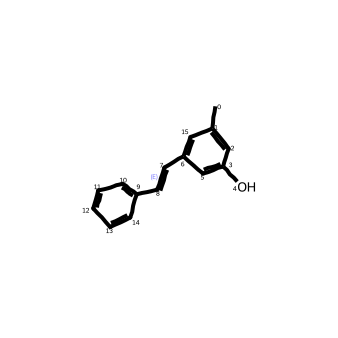 Cc1cc(O)cc(/C=C/c2ccccc2)c1